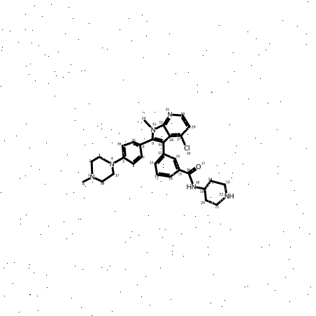 CN1CCN(c2ccc(-c3c(-c4cccc(C(=O)NC5CCNCC5)c4)c4c(Cl)ccnc4n3C)cc2)CC1